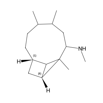 CNC1CC(C)C(C)CC[C@H]2C[C@@H]3C2C13C